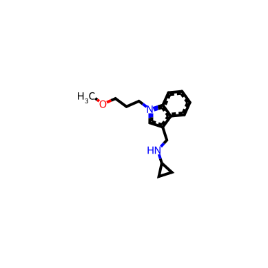 COCCCn1cc(CNC2CC2)c2ccccc21